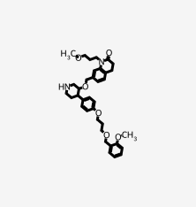 COCCCN1C(=O)CCc2ccc(COC3CNCCC3c3ccc(OCCCOCc4ccccc4OC)cc3)cc21